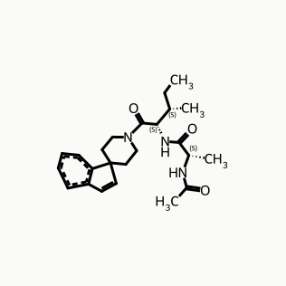 CC[C@H](C)[C@H](NC(=O)[C@H](C)NC(C)=O)C(=O)N1CCC2(C=Cc3ccccc32)CC1